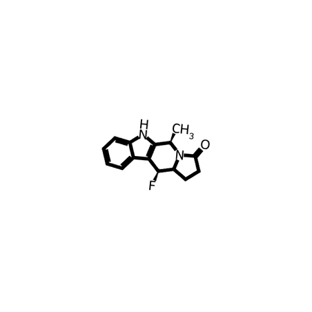 C[C@@H]1c2[nH]c3ccccc3c2[C@H](F)C2CCC(=O)N21